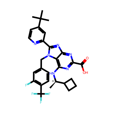 C[C@@H](Nc1nc(C(=O)O)nc2nc(-c3cc(C(C)(C)C)ccn3)n(Cc3ccc(C(F)(F)F)c(F)c3)c12)C1CCC1